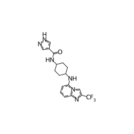 O=C(NC1CCC(Nc2cccc3nc(C(F)(F)F)cn23)CC1)c1cn[nH]c1